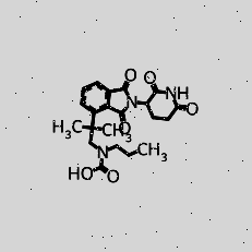 CCCN(CC(C)(C)c1cccc2c1C(=O)N(C1CCC(=O)NC1=O)C2=O)C(=O)O